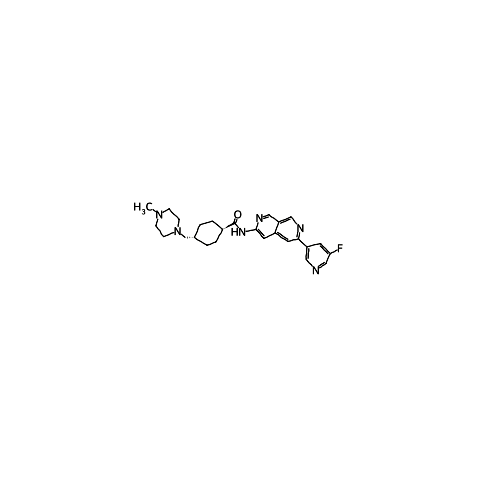 CN1CCN(C[C@H]2CC[C@H](C(=O)Nc3cc4cc(-c5cncc(F)c5)ncc4cn3)CC2)CC1